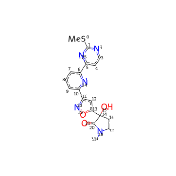 CSc1nccc(-c2cccc(-c3cc(C4(O)CCN(C)C4=O)on3)n2)n1